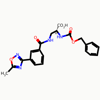 Cc1nc(-c2cccc(C(=O)NC[C@@H](NC(=O)OCc3ccccc3)C(=O)O)c2)no1